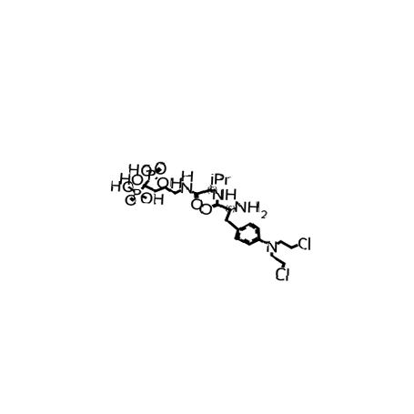 CC(C)[C@H](NC(=O)[C@@H](N)Cc1ccc(N(CCCl)CCCl)cc1)C(=O)NCCCC(O)(P(=O)(O)O)P(=O)(O)O